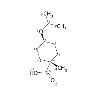 CC(C)O[C@H]1CC[C@](C)(C(=O)O)CC1